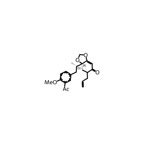 C=CCC1C[C@]2([C@@H](C)Cc3ccc(OC)c(C(C)=O)c3)OCOC2=CC1=O